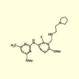 CNc1cc(C)nc(Nc2ccc(OC)c(CNCCN3CCCC3)c2F)n1